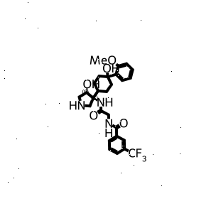 COc1ccccc1C1(O)CCC([C@]2(NC(=O)CNC(=O)c3cccc(C(F)(F)F)c3)CNC[C@@H]2O)CC1